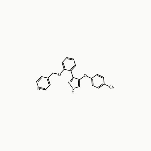 N#Cc1ccc(Oc2c[nH]nc2-c2ccccc2OCc2ccncc2)cc1